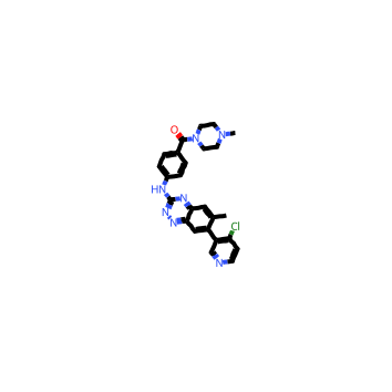 Cc1cc2nc(Nc3ccc(C(=O)N4CCN(C)CC4)cc3)nnc2cc1-c1cnccc1Cl